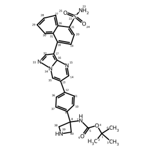 CC(C)(C)OC(=O)NC1(c2ccc(-c3cnc4c(-c5ccc(S(N)(=O)=O)c6ccccc56)cnn4c3)cc2)CNC1